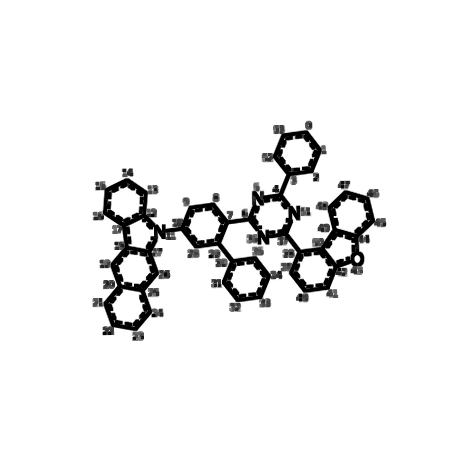 c1ccc(-c2nc(-c3ccc(-n4c5ccccc5c5cc6ccccc6cc54)cc3-c3ccccc3)nc(-c3cccc4oc5ccccc5c34)n2)cc1